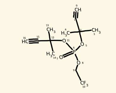 C#CC(C)(C)OP(=O)(OCC(F)(F)F)OC(C)(C)C#C